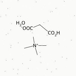 C[N+](C)(C)C.O.O=C([O-])CC(=O)O